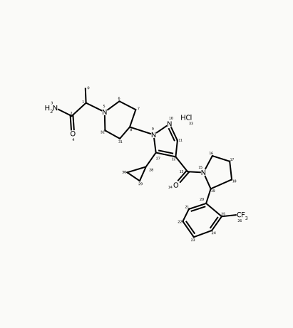 CC(C(N)=O)N1CCC(n2ncc(C(=O)N3CCCC3c3ccccc3C(F)(F)F)c2C2CC2)CC1.Cl